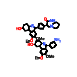 CCOc1cc2c(cc1OC)C(c1ccc(C(CN3CCCCC3)C(N)=O)cc1)=NC1CCC(O)CC21.CCOc1cc2c(cc1OC)C(c1cccc(N)c1)=NC1CCC(O)CC21